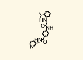 CC(C)c1ccccc1NCC(=O)Nc1ccc(C(=O)NCc2cccnc2)cc1